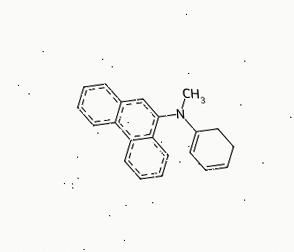 CN(C1=CC=CCC1)c1cc2ccccc2c2ccccc12